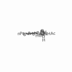 CCCOCCOCCOCCOC[C@@]12CO[C@@H](O1)[C@H](NC(C)=O)[C@@H](O)[C@H]2O